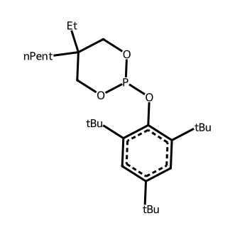 CCCCCC1(CC)COP(Oc2c(C(C)(C)C)cc(C(C)(C)C)cc2C(C)(C)C)OC1